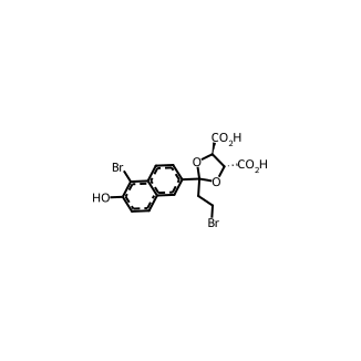 O=C(O)[C@@H]1OC(CCBr)(c2ccc3c(Br)c(O)ccc3c2)O[C@H]1C(=O)O